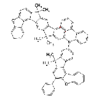 CC1(C)c2cc(N(c3ccc4c(c3)C(C)(C)c3cc(-c5ccccc5)c5oc6ccccc6c5c3-4)c3ccccc3-c3ccccc3)ccc2-c2cc3c(cc21)-c1c(ccc2oc4ccccc4c12)C3(C)C